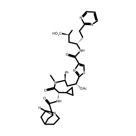 CC(=O)O[C@H](C[C@H](C(C)C)N(C)C(=O)[C@@H](NC(=O)[C@H]1CC2CCN1CC2)C1CC1)c1nc(C(=O)N[C@@H](CCc2ncccn2)C[C@H](C)C(=O)O)cs1